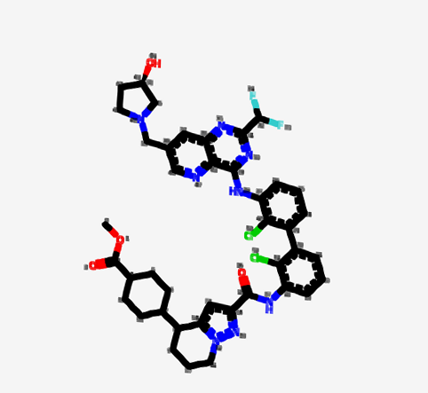 COC(=O)C1CCC(C2CCCn3nc(C(=O)Nc4cccc(-c5cccc(Nc6nc(C(F)F)nc7cc(CN8CC[C@@H](O)C8)cnc67)c5Cl)c4Cl)cc32)CC1